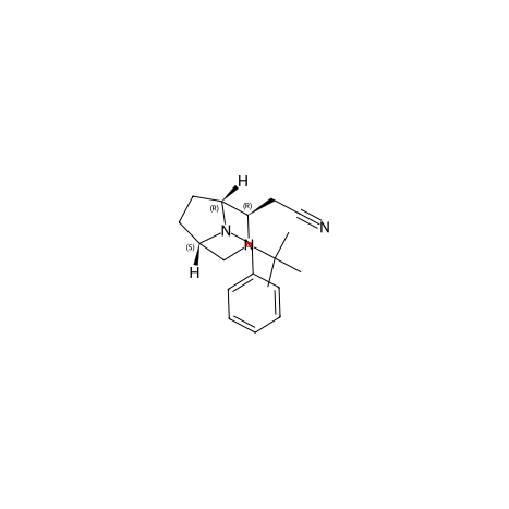 CC(C)(C)N1C[C@@H]2CC[C@H]([C@H]1CC#N)N2Cc1ccccc1